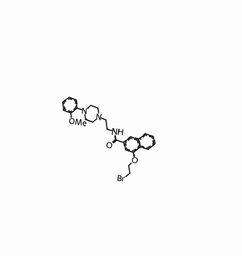 COc1ccccc1N1CCN(CCNC(=O)c2cc(OCCBr)c3ccccc3c2)CC1